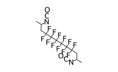 CC(CC(F)(F)C(F)(F)C(F)(F)C(F)(F)C(F)(F)C(F)(F)CC(C)N=C=O)N=C=O